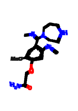 C=Nc1cc(OCC(N)=O)c(OC)cc1/C(=N\C)N1CCCNCC1